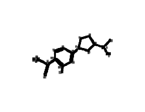 CC(=O)N(C)C1CCN(c2ccc(C(N)=O)c(C)c2)C1